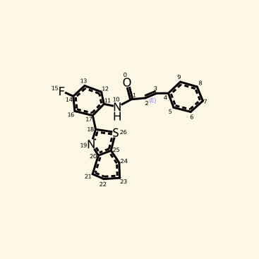 O=C(/C=C/c1ccccc1)Nc1ccc(F)cc1-c1nc2ccccc2s1